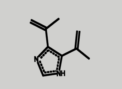 C=C(C)c1nc[nH]c1C(=C)C